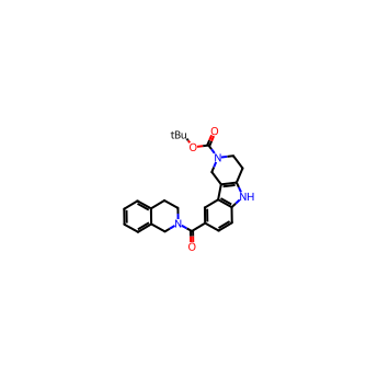 CC(C)(C)OC(=O)N1CCc2[nH]c3ccc(C(=O)N4CCc5ccccc5C4)cc3c2C1